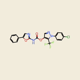 O=C(Nc1ncc(-c2ccccc2)o1)Oc1cnn(-c2ccc(Cl)cc2)c1C(F)(F)F